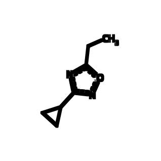 CCc1nc(C2CC2)no1